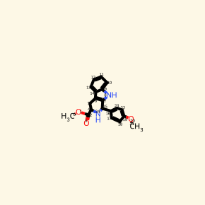 COC(=O)C1Cc2c([nH]c3ccccc23)C(c2ccc(OC)cc2)N1